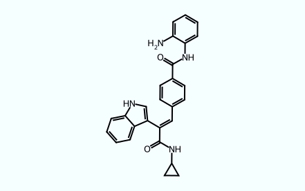 Nc1ccccc1NC(=O)c1ccc(/C=C(/C(=O)NC2CC2)c2c[nH]c3ccccc23)cc1